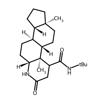 CC(C)(C)NC(=O)C1CC(=O)N[C@@H]2CC[C@H]3[C@@H]4CCC[C@@]4(C)CC[C@@H]3[C@@]12C